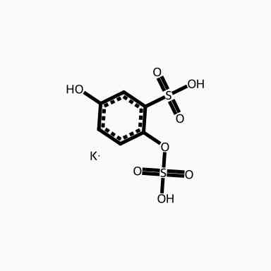 O=S(=O)(O)Oc1ccc(O)cc1S(=O)(=O)O.[K]